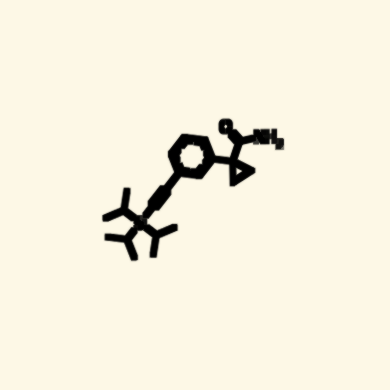 CC(C)[Si](C#Cc1cccc(C2(C(N)=O)CC2)c1)(C(C)C)C(C)C